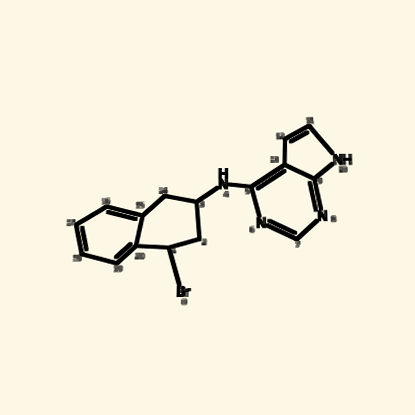 BrC1CC(Nc2ncnc3[nH]ccc23)Cc2ccccc21